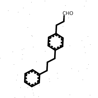 O=CCCc1ccc(CCCc2ccccc2)cc1